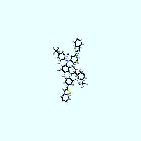 Cc1cc2c3c(c1)N(c1c(C)cc(-c4cc5ccccc5s4)cc1C)c1c(oc4ccc(C(C)(C)C)cc14)B3c1ccc(-c3cc4ccccc4s3)cc1N2c1c(C)cc(C(C)(C)C)cc1C